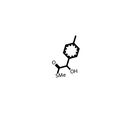 CSC(=O)C(O)c1ccc(C)cc1